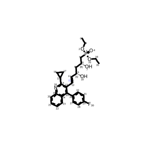 CCOP(=O)(C[C@H](O)C[C@H](O)/C=C/c1c(C2CC2)nc2ccccc2c1-c1ccc(F)cc1)OCC